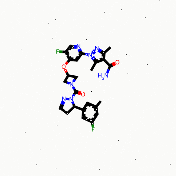 Cc1cc(F)cc(C2CC=NN2C(=O)N2CC(Oc3cc(-n4nc(C)c(C(N)=O)c4C)ncc3F)C2)c1